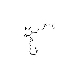 COCCCN(C)C(=O)OCc1ccccc1